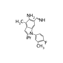 Cc1cc(-n2c(C(C)C)cc3c(C)c(N)c(C=N)cc32)ccc1F